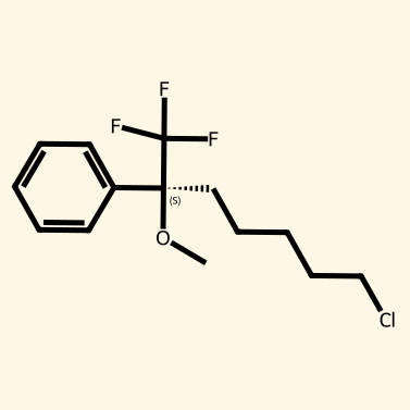 CO[C@@](CCCCCCl)(c1ccccc1)C(F)(F)F